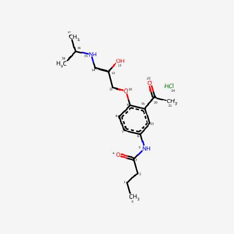 CCCC(=O)Nc1ccc(OCC(O)CNC(C)C)c(C(C)=O)c1.Cl